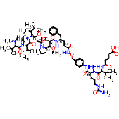 CC[C@H](C)[C@@H]([C@@H](CC(=O)N1CCC[C@H]1[C@H](OC)[C@@H](C)C(=O)N[C@H](/C=C/C(=O)NOCc1ccc(NC(=O)[C@@H](CCCNC(N)=O)NC(=O)C(NC(=O)CCCC(=O)O)C(C)C)cc1)Cc1ccccc1)OC)N(C)C(=O)[C@@H](NC(=O)C(C(C)C)N(C)C)C(C)C